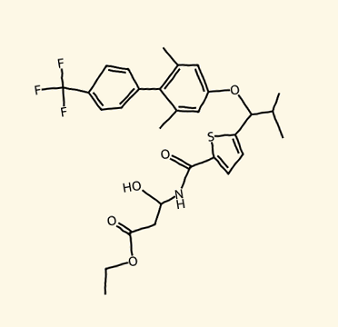 CCOC(=O)CC(O)NC(=O)c1ccc(C(Oc2cc(C)c(-c3ccc(C(F)(F)F)cc3)c(C)c2)C(C)C)s1